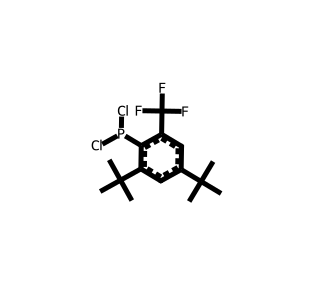 CC(C)(C)c1cc(C(C)(C)C)c(P(Cl)Cl)c(C(F)(F)F)c1